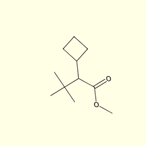 COC(=O)C(C1CCC1)C(C)(C)C